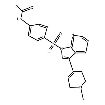 CC(=O)Nc1ccc(S(=O)(=O)n2cc(C3=CCN(C)CC3)c3cccnc32)cc1